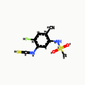 CCS(=O)(=O)Nc1cc(N=C=S)c(F)cc1C#N